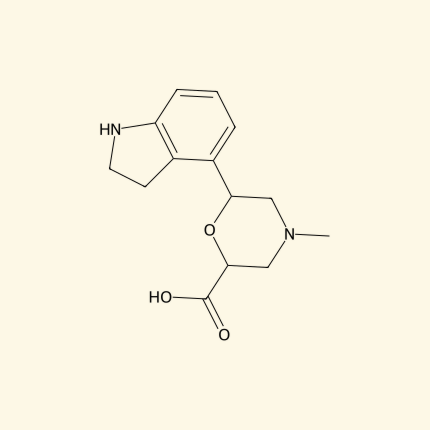 CN1CC(C(=O)O)OC(c2cccc3c2CCN3)C1